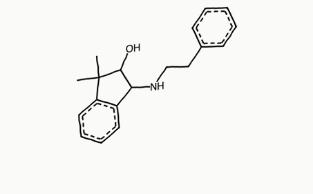 CC1(C)c2ccccc2C(NCCc2ccccc2)C1O